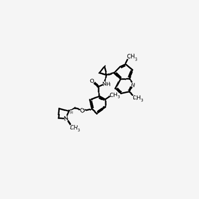 Cc1cc(C2(NC(=O)c3cc(OC[C@@H]4CCN4C)ccc3C)CC2)c2ccc(C)nc2c1